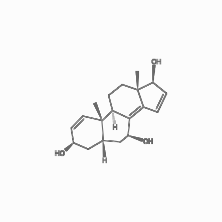 C[C@]12C=C[C@H](O)C[C@H]1C[C@H](O)C1=C3C=C[C@H](O)[C@@]3(C)CC[C@@H]12